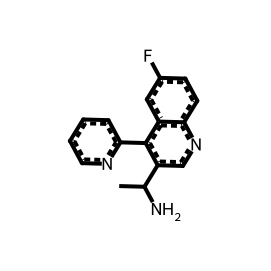 CC(N)c1cnc2ccc(F)cc2c1-c1ccccn1